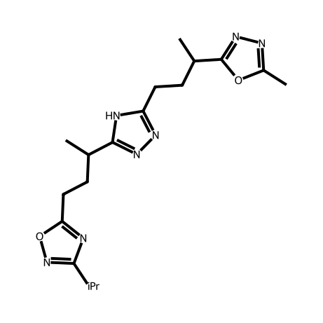 Cc1nnc(C(C)CCc2nnc(C(C)CCc3nc(C(C)C)no3)[nH]2)o1